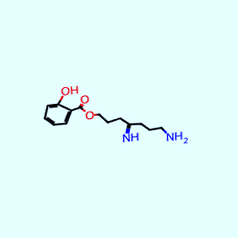 N=C(CCCN)CCCOC(=O)c1ccccc1O